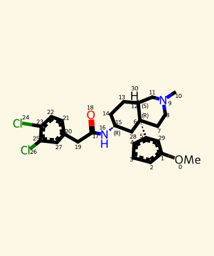 COc1cccc([C@@]23CCN(C)C[C@H]2CC[C@@H](NC(=O)Cc2ccc(Cl)c(Cl)c2)C3)c1